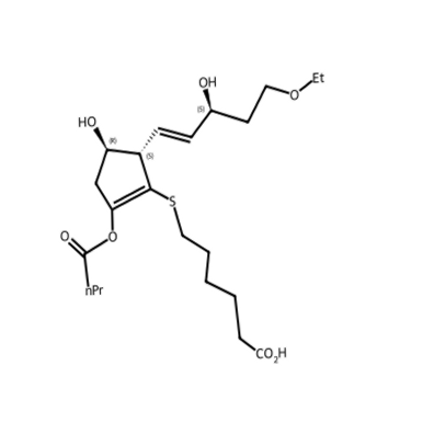 CCCC(=O)OC1=C(SCCCCCC(=O)O)[C@@H](C=C[C@@H](O)CCOCC)[C@H](O)C1